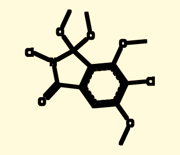 COc1cc2c(c(OC)c1Cl)C(OC)(OC)N(Cl)C2=O